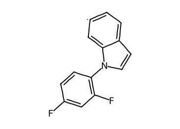 Fc1ccc(-n2ccc3cc[c]cc32)c(F)c1